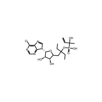 C=CC(C)(O)P(=O)(O)OC(CC)(CC)CC1O[C@@H](n2cnc3c(Cl)ncnc32)[C@H](O)[C@@H]1O